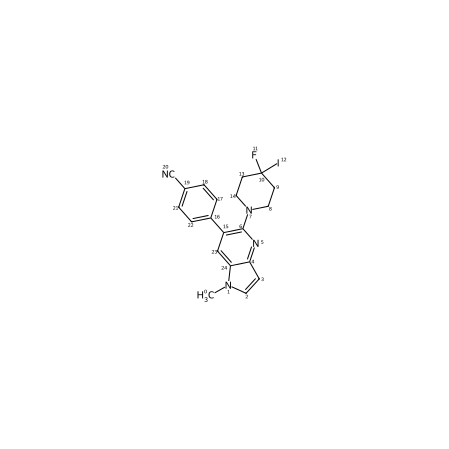 Cn1ccc2nc(N3CCC(F)(I)CC3)c(-c3ccc(C#N)cc3)cc21